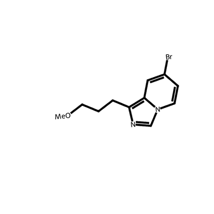 COCCCc1ncn2ccc(Br)cc12